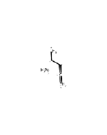 C=C=CCC.[PoH2]